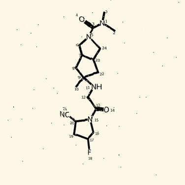 CN(C)C(=O)N1CC2CC(C)(NCC(=O)N3CC(F)CC3C#N)CC2C1